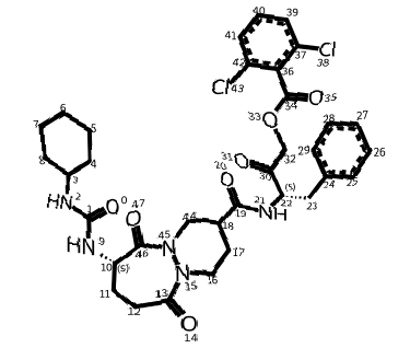 O=C(NC1CCCCC1)N[C@H]1CCC(=O)N2CCC(C(=O)N[C@@H](Cc3ccccc3)C(=O)COC(=O)c3c(Cl)cccc3Cl)CN2C1=O